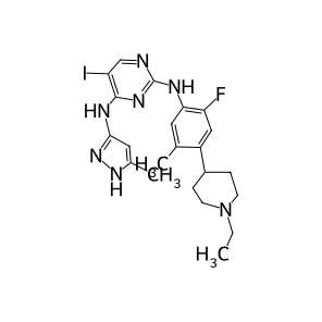 CCN1CCC(c2cc(F)c(Nc3ncc(I)c(Nc4cc(C)[nH]n4)n3)cc2C)CC1